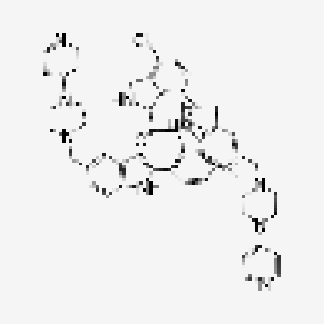 O=C(C1NCc2c(Cl)ccc(-c3cc4cc(CN5CCN(c6ccncc6)CC5)ccc4[nH]3)c21)C1NCc2c(Cl)ccc(-c3cc4cc(CN5CCN(c6ccncc6)CC5)ccc4[nH]3)c21